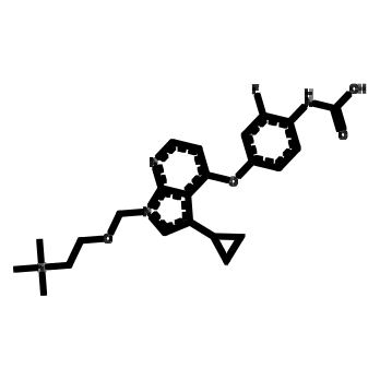 C[Si](C)(C)CCOCn1cc(C2CC2)c2c(Oc3ccc(NC(=O)O)c(F)c3)ccnc21